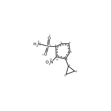 NS(=O)(=O)c1cccc(C2CC2)c1[N+](=O)[O-]